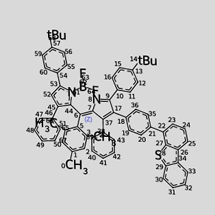 Cc1cc(C)c(/C(=C2/N=C(c3ccc(C(C)(C)C)cc3)C(c3ccc(-c4cccc5c4sc4ccccc45)cc3)=C2c2ccccc2)c2c(-c3ccccc3)cc(-c3ccc(C(C)(C)C)cc3)n2B(F)F)c(C)c1